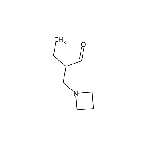 CCC(C=O)CN1CCC1